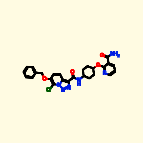 NC(=O)c1cccnc1O[C@H]1CC[C@H](NC(=O)c2nnn3c(Cl)c(OCc4ccccc4)ccc23)CC1